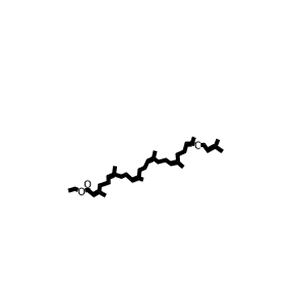 CCOC(=O)C=C(C)CCC=C(C)CCC=C(C)CCC=C(C)CCC=C(C)CCC=C(C)CCC=C(C)C